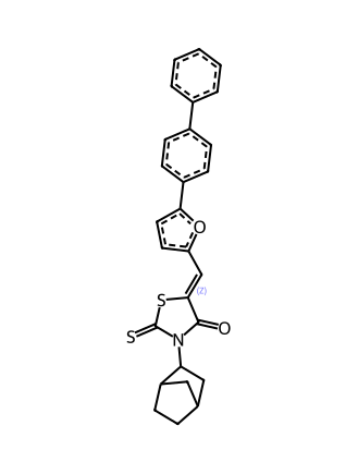 O=C1/C(=C/c2ccc(-c3ccc(-c4ccccc4)cc3)o2)SC(=S)N1C1CC2CCC1C2